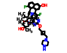 CC(C)[Si](C#Cc1c(F)ccc2cc(O)cc(-c3ncc4c(N5CCC[C@@](C)(O)C5)nc(OCC56CC(CN7CCNCC7)(C5)C6)nc4c3F)c12)(C(C)C)C(C)C